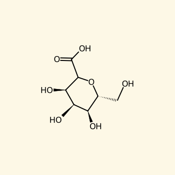 O=C(O)C1O[C@H](CO)[C@@H](O)[C@@H](O)[C@H]1O